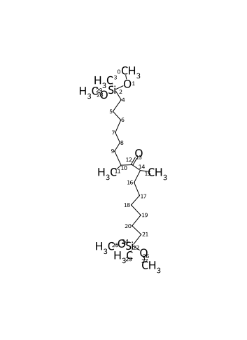 CO[Si](C)(CCCCCCC(C)C(=O)C(C)CCCCCC[Si](C)(OC)OC)OC